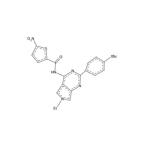 CCn1cc2nc(-c3ccc(C(C)(C)C)cc3)nc(NC(=O)c3ccc([N+](=O)[O-])s3)c2c1